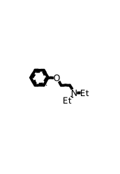 CCN(CC)CCOc1[c]cccc1